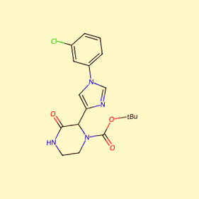 CC(C)(C)OC(=O)N1CCNC(=O)C1c1cn(-c2cccc(Cl)c2)cn1